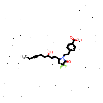 CCC#CCCC(O)/C=C/C1CC(F)(F)C(=O)N1CCc1ccc(C(=O)O)cc1